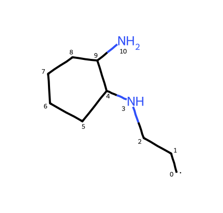 [CH2]CCNC1CCCCC1N